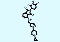 O=C1CCC(N2C(=O)c3cccc(NCc4cnn(C5CCN(C6CC6)CC5)c4)c3C2=O)C(=O)N1